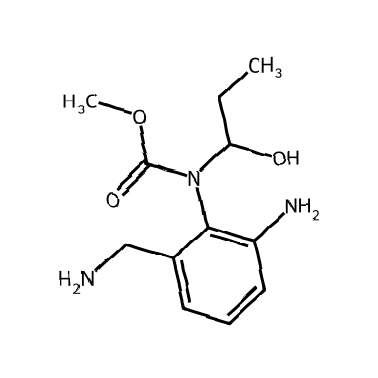 CCC(O)N(C(=O)OC)c1c(N)cccc1CN